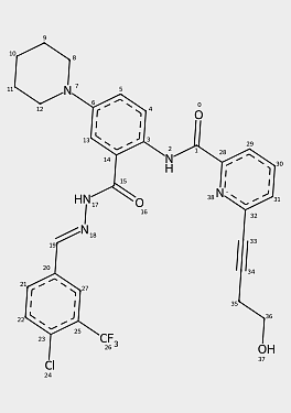 O=C(Nc1ccc(N2CCCCC2)cc1C(=O)NN=Cc1ccc(Cl)c(C(F)(F)F)c1)c1cccc(C#CCCO)n1